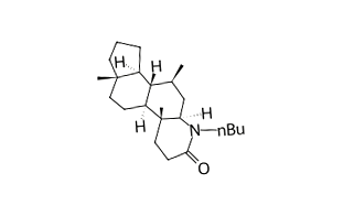 CCCCN1C(=O)CC[C@]2(C)[C@H]3CC[C@]4(C)CCC[C@H]4[C@@H]3[C@@H](C)C[C@@H]12